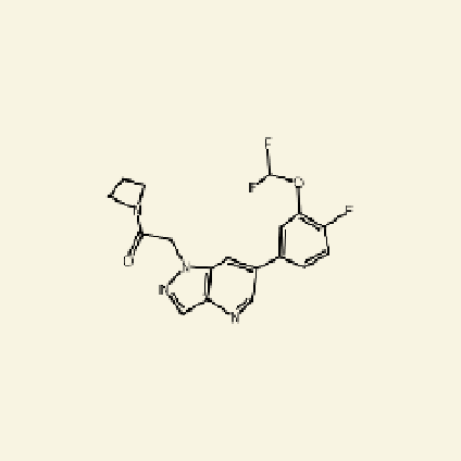 O=C(Cn1ncc2ncc(-c3ccc(F)c(OC(F)F)c3)cc21)N1CCC1